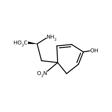 N[C@@H](CC1([N+](=O)[O-])C=CC(O)=CC1)C(=O)O